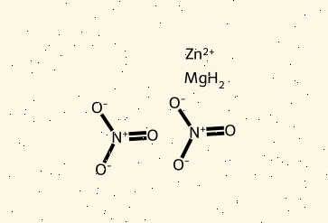 O=[N+]([O-])[O-].O=[N+]([O-])[O-].[MgH2].[Zn+2]